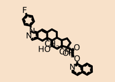 CC12Cc3cnn(-c4ccc(F)cc4)c3C=C1CCC1C2[C@@H](O)CC2(C)C1CC[C@]2(O)C(=O)COc1nccc2ccccc12